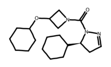 O=C(N1CC(OC2CCCCC2)C1)N1N=CC[C@H]1C1CCCCC1